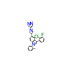 Cc1ccccc1-n1cc(-c2cccc(F)c2Cl)c2cc(C3CN(c4cnn(C)c4)C3)ccc21